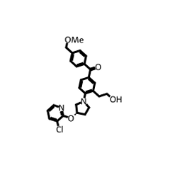 COCc1ccc(C(=O)c2ccc(N3CC[C@H](Oc4ncccc4Cl)C3)c(CCO)c2)cc1